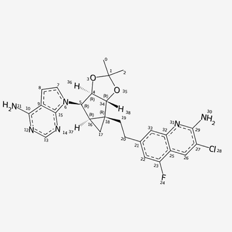 CC1(C)O[C@@H]2[C@H](n3ccc4c(N)ncnc43)[C@@H]3C[C@@]3(CCc3cc(F)c4cc(Cl)c(N)nc4c3)[C@H]2O1